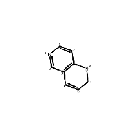 C1=Cc2cnccc2[N]C1